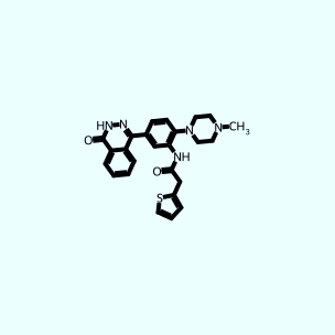 CN1CCN(c2ccc(-c3n[nH]c(=O)c4ccccc34)cc2NC(=O)Cc2cccs2)CC1